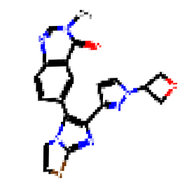 Cn1cnc2ccc(-c3c(-c4ccn(C5COC5)n4)nc4sccn34)cc2c1=O